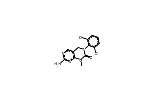 CN1C(=O)N(c2c(Cl)cccc2Cl)Cc2cnc(N)nc21